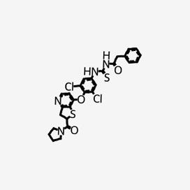 O=C(Cc1ccccc1)NC(=S)Nc1cc(Cl)c(Oc2ccnc3c2SC(C(=O)N2CCCC2)C3)c(Cl)c1